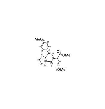 COC(=O)c1cc(OC)cc2c1CC(c1ccc(OC)cc1)C1CCCCC21